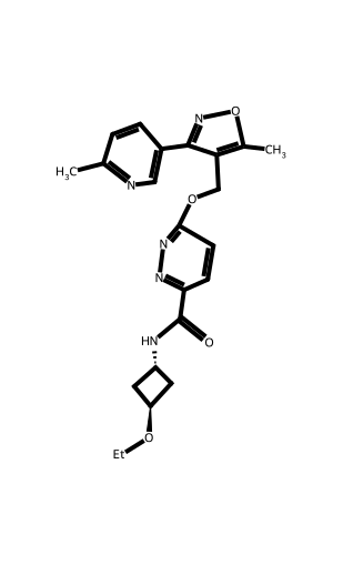 CCO[C@H]1C[C@H](NC(=O)c2ccc(OCc3c(-c4ccc(C)nc4)noc3C)nn2)C1